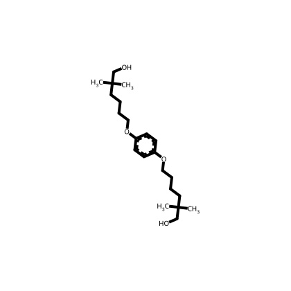 CC(C)(CO)CCCCOc1ccc(OCCCCC(C)(C)CO)cc1